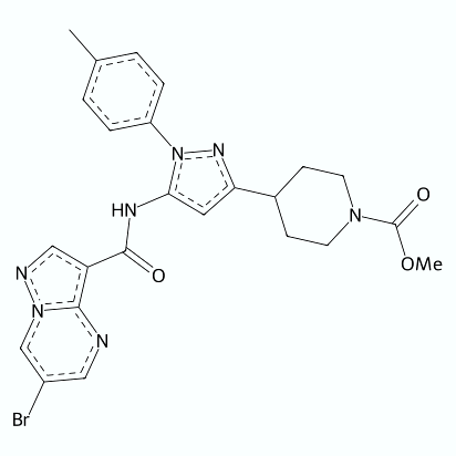 COC(=O)N1CCC(c2cc(NC(=O)c3cnn4cc(Br)cnc34)n(-c3ccc(C)cc3)n2)CC1